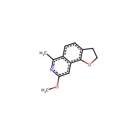 COc1cc2c3c(ccc2c(C)n1)CCO3